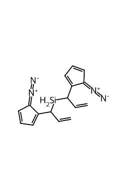 C=CC([SiH2]C(C=C)C1=CC=CC1=[N+]=[N-])C1=CC=CC1=[N+]=[N-]